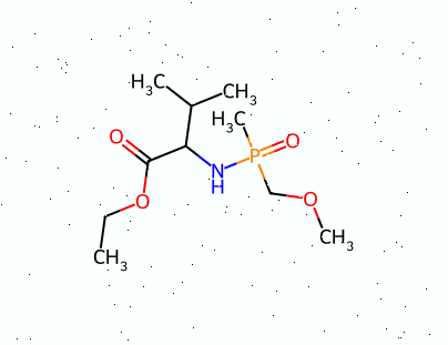 CCOC(=O)C(NP(C)(=O)COC)C(C)C